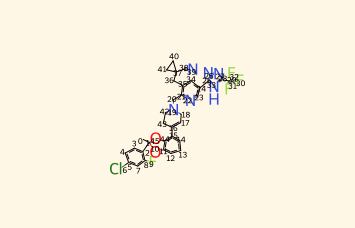 CC1(c2ccc(Cl)cc2F)Oc2cccc(C3=CCN(Cc4ncc(-c5nnc(C(F)(F)F)[nH]5)cc4CC4(C#N)CC4)CC3)c2O1